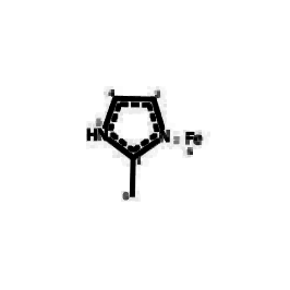 Cc1ncc[nH]1.[Fe]